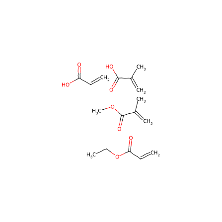 C=C(C)C(=O)O.C=C(C)C(=O)OC.C=CC(=O)O.C=CC(=O)OCC